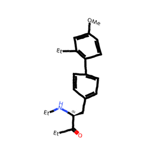 CCN[C@@H](Cc1ccc(-c2ccc(OC)cc2CC)cc1)C(=O)CC